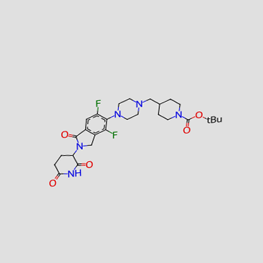 CC(C)(C)OC(=O)N1CCC(CN2CCN(c3c(F)cc4c(c3F)CN(C3CCC(=O)NC3=O)C4=O)CC2)CC1